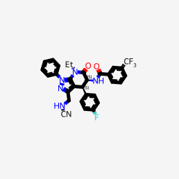 CCN1C(=O)[C@@H](NC(=O)c2cccc(C(F)(F)F)c2)[C@@H](c2ccc(F)cc2)c2c(CNC#N)nn(-c3ccccc3)c21